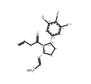 C=CCC(=O)N1[C@@H](/C=C/C(=O)O)CC[C@H]1c1cc(F)c(F)c(F)c1